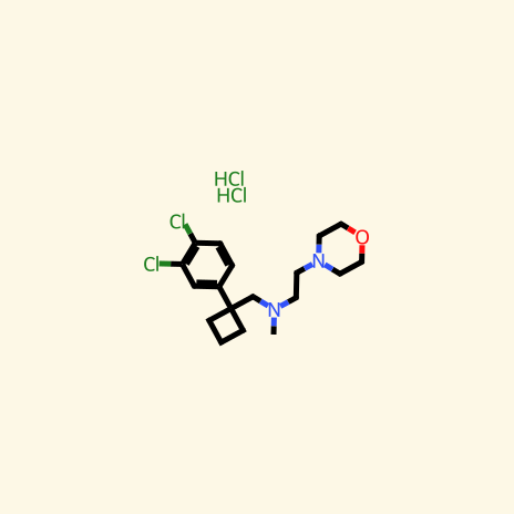 CN(CCN1CCOCC1)CC1(c2ccc(Cl)c(Cl)c2)CCC1.Cl.Cl